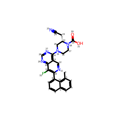 Cc1cccc2cccc(-c3ncc4c(N5CCN(C(=O)O)[C@@H](CC#N)C5)ncnc4c3F)c12